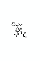 CCO[C@H](C(=O)N[C@@H](CCC(=O)C=N)C(=O)OC(C)C)C1CCCC1